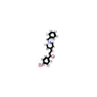 O=C(CCC1CCN(Cc2ccccc2)CC1)c1ccc(Br)cc1